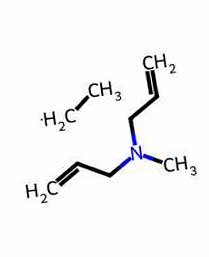 C=CCN(C)CC=C.[CH2]C